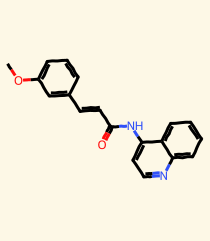 COc1cccc(/C=C/C(=O)Nc2ccnc3ccccc23)c1